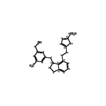 Cc1cc(CO)cc(CN2CCc3cccc(CCc4ccc(C(=O)O)s4)c32)c1